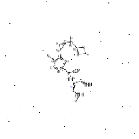 CN/C=C(\C=N)NC(=O)c1ccc(C)c(C2CC2NC2CCC2)c1